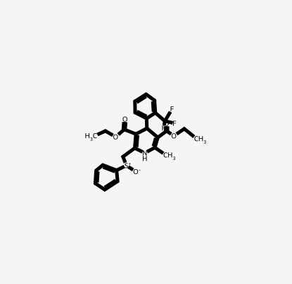 CCOC(=O)C1=C(C)NC(C[S+]([O-])c2ccccc2)=C(C(=O)OCC)C1c1ccccc1C(F)(F)F